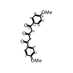 COc1ccc(C(=O)CC(=O)CC(=O)c2ccc(OC)cc2)cc1